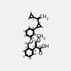 C=C(C1CC1)C1CC1c1cccc(OCc2ccccc2C(=COC)C(=O)O)c1